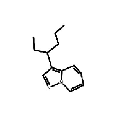 CCCC(CC)c1cnn2ccccc12